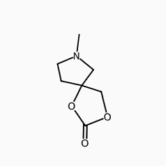 CN1CCC2(COC(=O)O2)C1